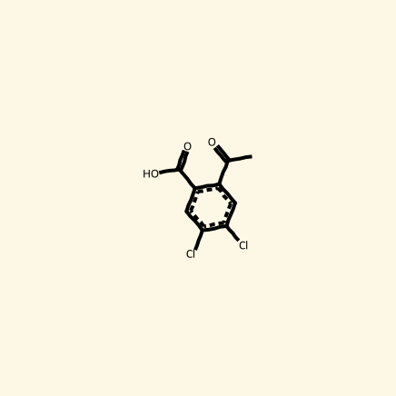 CC(=O)c1cc(Cl)c(Cl)cc1C(=O)O